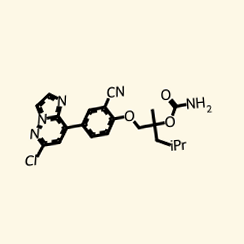 CC(C)CC(C)(COc1ccc(-c2cc(Cl)nn3ccnc23)cc1C#N)OC(N)=O